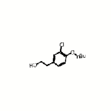 CCCCOc1ccc(CCO)cc1Cl